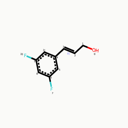 OC/C=C/c1cc(F)cc(F)c1